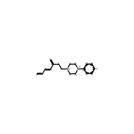 C=CC=CC(=C)CCN1CCN(c2ccccc2)CC1